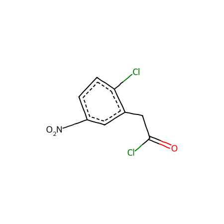 O=C(Cl)Cc1cc([N+](=O)[O-])ccc1Cl